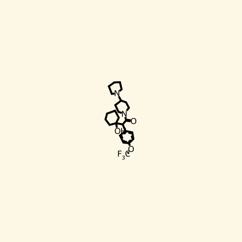 O=C(C(c1ccc(OC(F)(F)F)cc1)C1(O)CCCCC1)N1CCC(N2CCCCC2)CC1